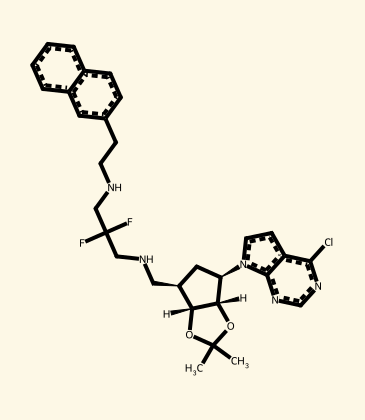 CC1(C)O[C@@H]2[C@@H](CNCC(F)(F)CNCCc3ccc4ccccc4c3)C[C@@H](n3ccc4c(Cl)ncnc43)[C@@H]2O1